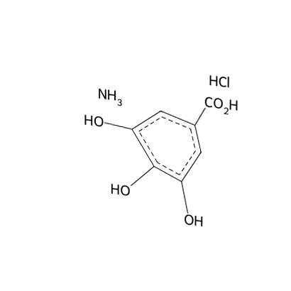 Cl.N.O=C(O)c1cc(O)c(O)c(O)c1